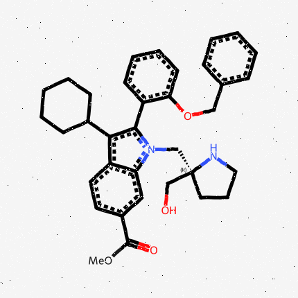 COC(=O)c1ccc2c(C3CCCCC3)c(-c3ccccc3OCc3ccccc3)n(C[C@@]3(CO)CCCN3)c2c1